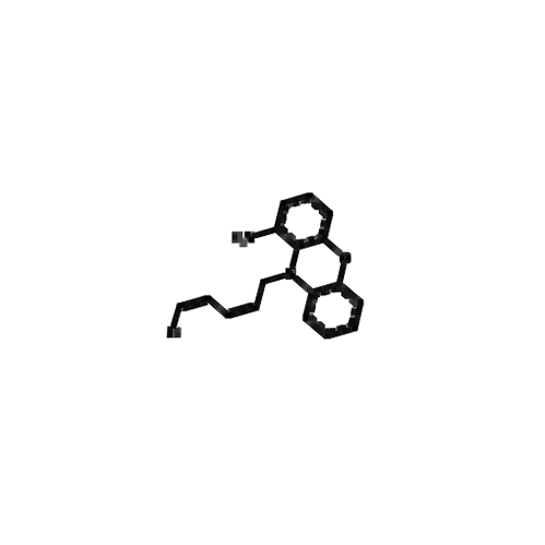 CC/C=C\C=C/CN1c2ccccc2Oc2cccc(N)c21